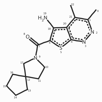 Cc1nnc2sc(C(=O)N3CCC4(CCCC4)C3)c(N)c2c1C